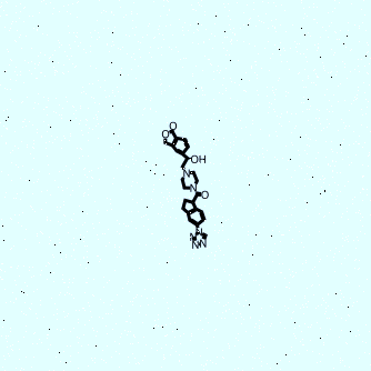 O=C1OCc2cc([C@@H](O)CN3CCN(C(=O)C4CCc5cc(-n6cnnn6)ccc54)CC3)ccc21